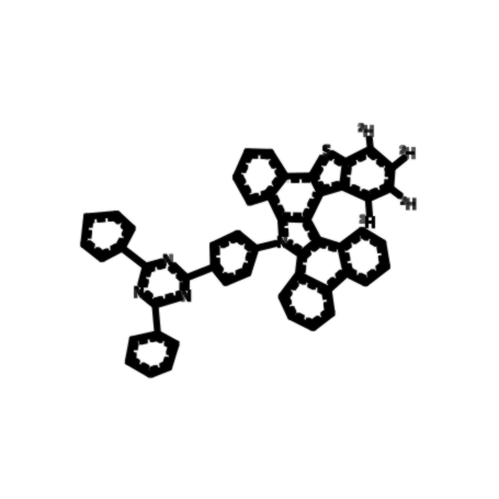 [2H]c1c([2H])c([2H])c2c(sc3c4ccccc4c4c(c32)c2c3ccccc3c3ccccc3c2n4-c2ccc(-c3nc(-c4ccccc4)nc(-c4ccccc4)n3)cc2)c1[2H]